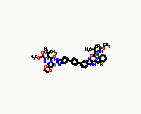 COC(=O)N[C@H](C(=O)N1CC2(C[C@H]1c1nc3cc(-c4ccc(-c5ccc6[nH]c([C@@H]7C[C@@H]8CCCC[C@@H]8N7C(=O)[C@@H](NC(=O)OC)C(C)C)nc6c5)cc4)ccc3[nH]1)OCCO2)C(C)C